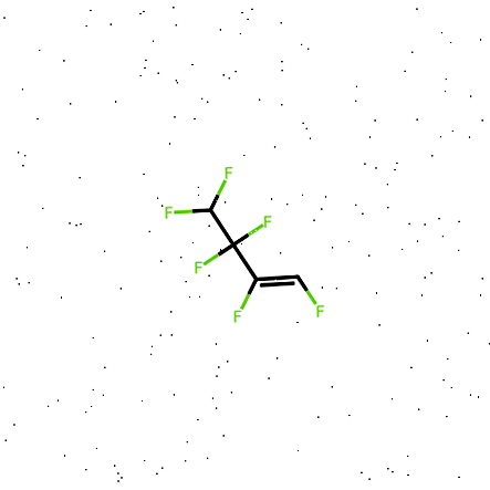 FC=C(F)C(F)(F)C(F)F